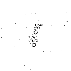 COC(=O)Oc1ccc(C[C@H](N)C(=O)N2CC(C)Cc3ccccc32)c(C)c1